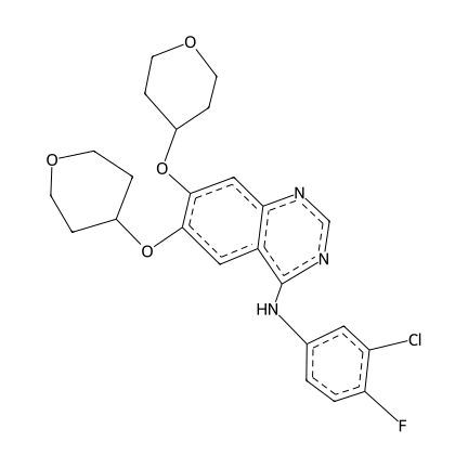 Fc1ccc(Nc2ncnc3cc(OC4CCOCC4)c(OC4CCOCC4)cc23)cc1Cl